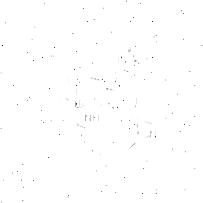 C=C[C@@H]1C[C@]1(NC(=O)[C@@H]1C[C@@H]2CN1C(=O)[C@H](C(C)(C)C)NC(=O)OCCCCCC=Cc1cnccc1O2)C(=O)NS(=O)(=O)C1CC1.O=C(O)C(F)(F)F